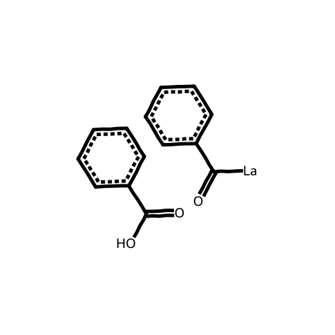 O=C(O)c1ccccc1.O=[C]([La])c1ccccc1